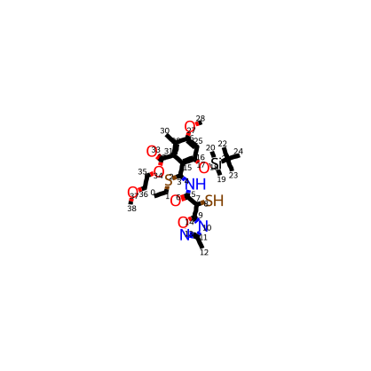 CCSC(NC(=O)C(S)c1nc(C)no1)c1c(O[Si](C)(C)C(C)(C)C)cc(OC)c(C)c1C(=O)OCCOC